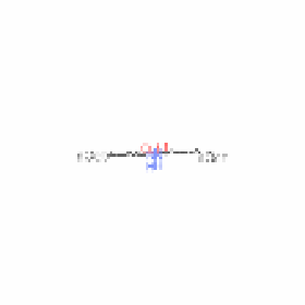 CCCCCCCCC=CCCCCCCCC(=O)NONC(=O)CCCCCCC/C=C\CCCCCCCC